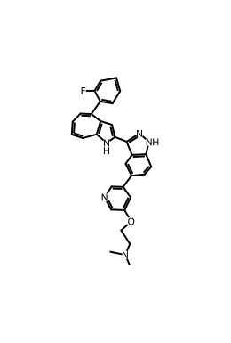 CN(C)CCOc1cncc(-c2ccc3[nH]nc(-c4cc5c([nH]4)C=C=CC=C5c4ccccc4F)c3c2)c1